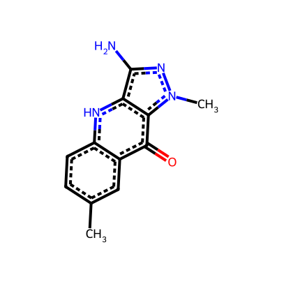 Cc1ccc2[nH]c3c(N)nn(C)c3c(=O)c2c1